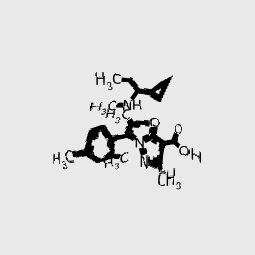 CCC(NC)C1CC1.Cc1ccc(-c2c(C)oc3c(C(=O)O)c(C)nn23)c(C)c1